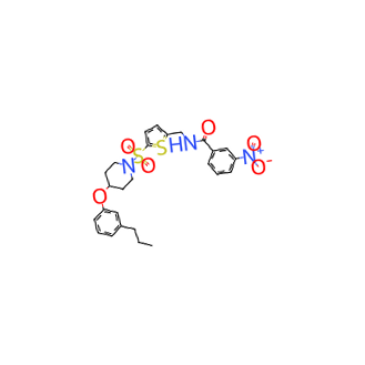 CCCc1cccc(OC2CCN(S(=O)(=O)c3ccc(CNC(=O)c4cccc([N+](=O)[O-])c4)s3)CC2)c1